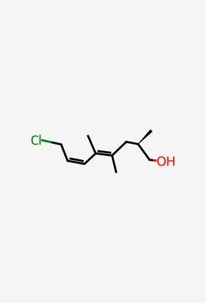 CC(/C=C\CCl)=C(/C)C[C@@H](C)CO